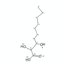 CCCCCCCC(O)C(O)C(=O)O